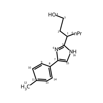 CCCC(CCO)c1nc(-c2ccc(C)cc2)c[nH]1